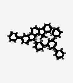 CC1(C)c2ccccc2-c2ccc3c4cc(-c5ccccc5)ccc4n(-c4cccc(-c5nc(-c6ccccc6)nc(-c6ccccc6)n5)c4)c3c21